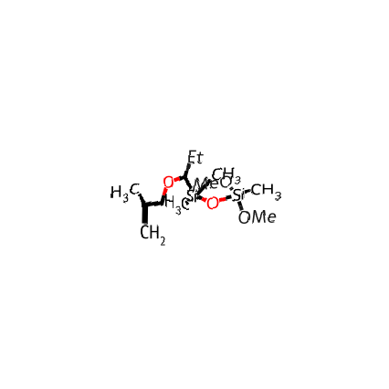 C=C(C)COC(CC)[Si](C)(C)O[Si](C)(OC)OC